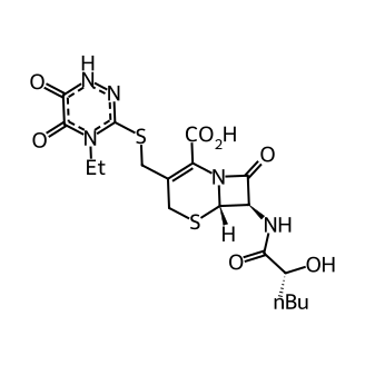 CCCC[C@@H](O)C(=O)N[C@@H]1C(=O)N2C(C(=O)O)=C(CSc3n[nH]c(=O)c(=O)n3CC)CS[C@@H]12